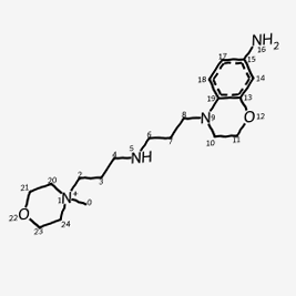 C[N+]1(CCCNCCCN2CCOc3cc(N)ccc32)CCOCC1